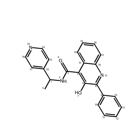 CC(NC(=O)c1c(O)c(-c2ccccc2)nc2ccccc12)c1ccncc1